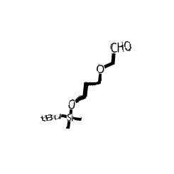 CC(C)(C)[Si](C)(C)OCCCOCC=O